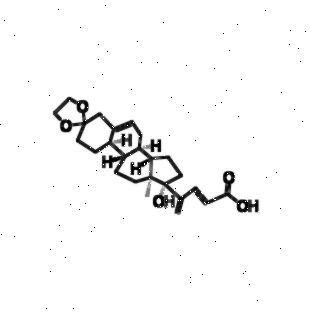 C=C(C=CC(=O)O)[C@]1(O)CC[C@H]2[C@@H]3CC=C4CC5(CC[C@@H]4[C@H]3CC[C@@]21C)OCCO5